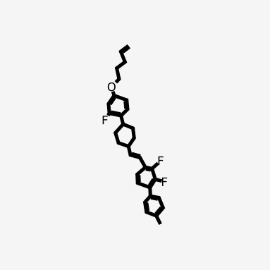 C=CCCCOc1ccc(C2CCC(/C=C/c3ccc(-c4ccc(C)cc4)c(F)c3F)CC2)c(F)c1